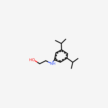 CC(C)c1cc(NCCO)cc(C(C)C)c1